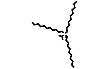 CCCCCCCCCCC[PH](CCCCCCCCCCC)(CCCCCCCCCCC)C(C)C